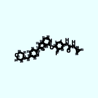 O=C(Nc1ccc(Oc2nccc3cc(-c4ccc(CN5CCOCC5)cn4)sc23)c(F)c1)NC1CC1